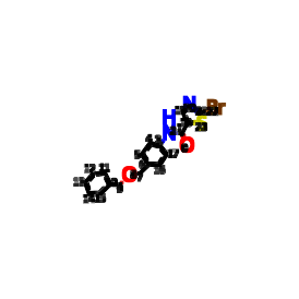 O=C(Nc1ccc(COCc2ccccc2)cc1)c1cnc(Br)s1